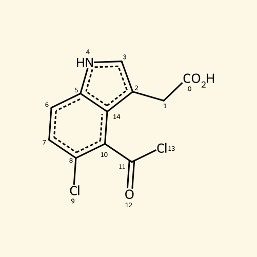 O=C(O)Cc1c[nH]c2ccc(Cl)c(C(=O)Cl)c12